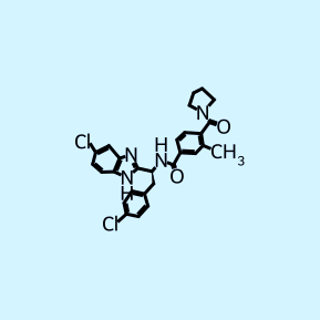 Cc1cc(C(=O)N[C@@H](Cc2ccc(Cl)cc2)c2nc3cc(Cl)ccc3[nH]2)ccc1C(=O)N1CCCC1